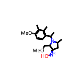 COCC1/C(=N\O)CC(C)N1C(C)c1ccc(OC)c(C)c1C